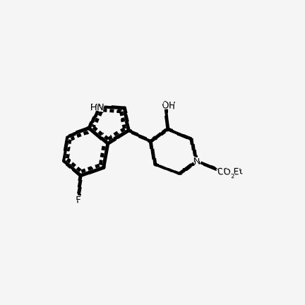 CCOC(=O)N1CCC(c2c[nH]c3ccc(F)cc23)C(O)C1